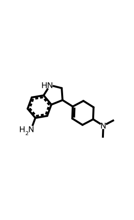 CN(C)C1CC=C(C2CNc3ccc(N)cc32)CC1